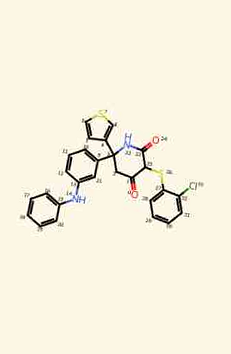 O=C1CC(c2ccsc2)(c2cccc(Nc3ccccc3)c2)NC(=O)C1Sc1ccccc1Cl